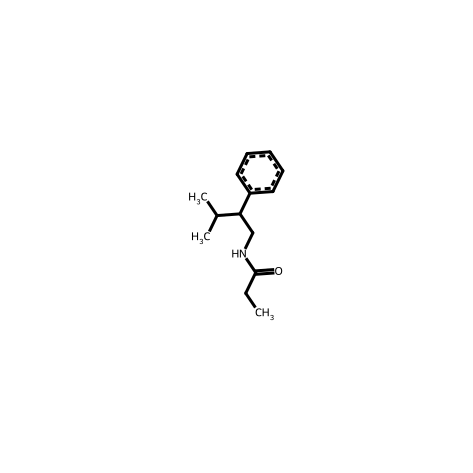 CCC(=O)NCC(c1ccccc1)C(C)C